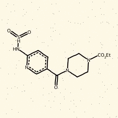 CCOC(=O)N1CCN(C(=O)c2ccc(N[SH](=O)=O)nc2)CC1